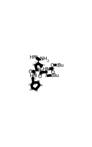 CC(C)(C)C[C@@H](NC(=O)OC(C)(C)C)C(=O)N1C[C@H](C(=N)N)C[C@H]1C(=O)NCC1CCCCC1